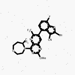 COc1nc(N2CCOCCC2C)c2nc(C(F)(F)F)c(-c3ccc(F)c4sc(C(C)C)c(C#N)c34)cc2n1